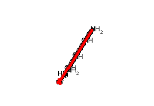 CC1=C(/C=C/C(C)=C/C=C/C(C)=C/C(=O)NCCCC[C@@H](N)C(=O)NCCCOCCOCCOCCCNC(=O)CCOCCOCCOCCOCCOCCC(=O)NCCCOCCOCCOCCCN)C(C)(C)CCC1